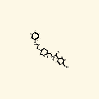 O=C(NC[C@]1(O)CC[C@H](CCOc2ccccc2)CC1)c1ccc(O)cc1